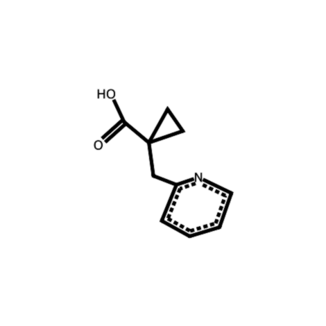 O=C(O)C1(Cc2ccccn2)CC1